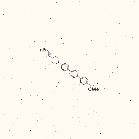 CCC/C=C/[C@H]1CC[C@H](c2ccc(-c3ccc(-c4ccc(COC)cc4)cc3)cc2)CC1